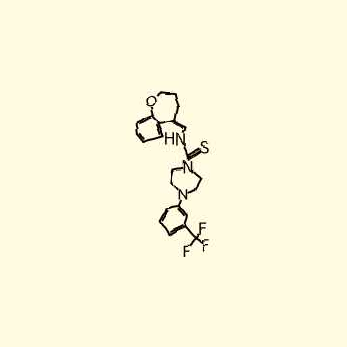 FC(F)(F)c1cccc(N2CCN(C(=S)N/C=C3/CCCOc4ccccc43)CC2)c1